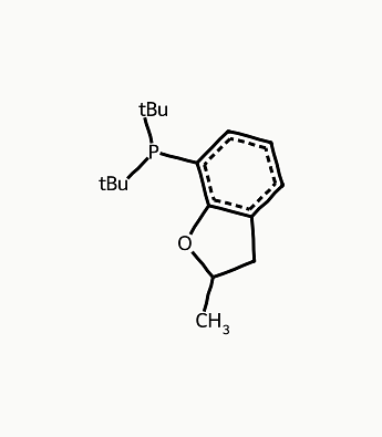 CC1Cc2cccc(P(C(C)(C)C)C(C)(C)C)c2O1